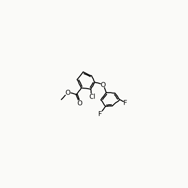 COC(=O)c1cccc(Oc2cc(F)cc(F)c2)c1Cl